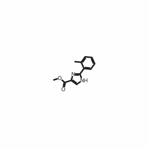 COC(=O)c1c[nH]c(-c2ccccc2C)n1